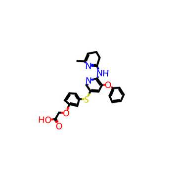 CC1=CCCC(Nc2ncc(Sc3cccc(OCC(=O)O)c3)cc2Oc2ccccc2)=N1